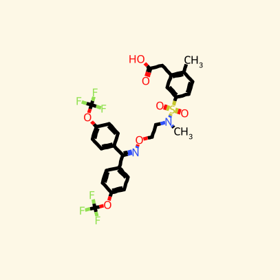 Cc1ccc(S(=O)(=O)N(C)CCON=C(c2ccc(OC(F)(F)F)cc2)c2ccc(OC(F)(F)F)cc2)cc1CC(=O)O